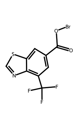 O=C(OBr)c1cc(C(F)(F)F)c2ncsc2c1